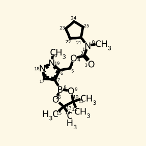 CN(C(=O)OCc1c(B2OC(C)(C)C(C)(C)O2)cnn1C)C1CCCC1